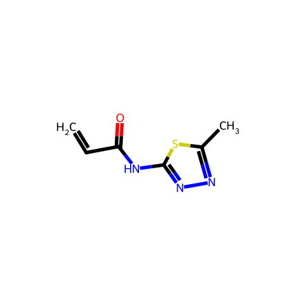 C=CC(=O)Nc1nnc(C)s1